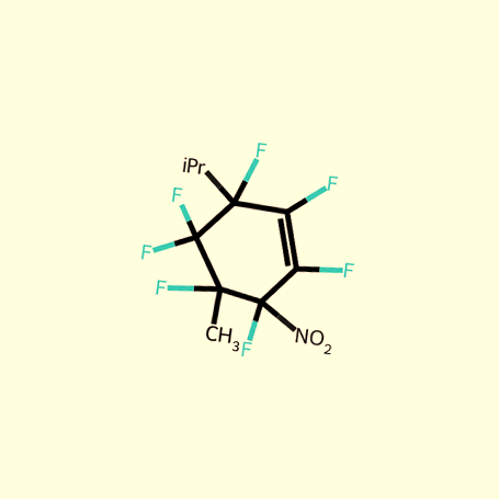 CC(C)C1(F)C(F)=C(F)C(F)([N+](=O)[O-])C(C)(F)C1(F)F